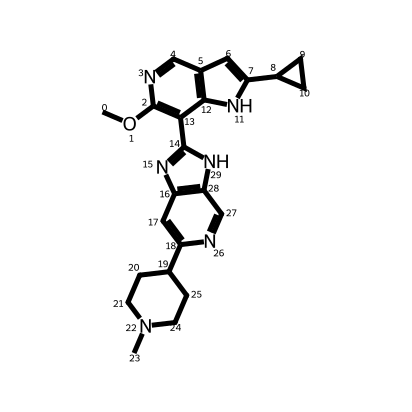 COc1ncc2cc(C3CC3)[nH]c2c1-c1nc2cc(C3CCN(C)CC3)ncc2[nH]1